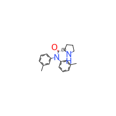 Cc1cccc(N(C(=O)[C@@H]2CCCN2)c2cccc(C)c2)c1